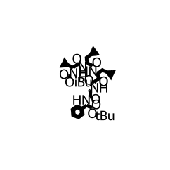 CC(C)COC(=O)NC(C(=O)NC(CC1CC1)C(=O)NC(CC1CC1)C(=O)C(=O)NCC(=O)NC(C(=O)OC(C)(C)C)c1ccccc1)C1CC1